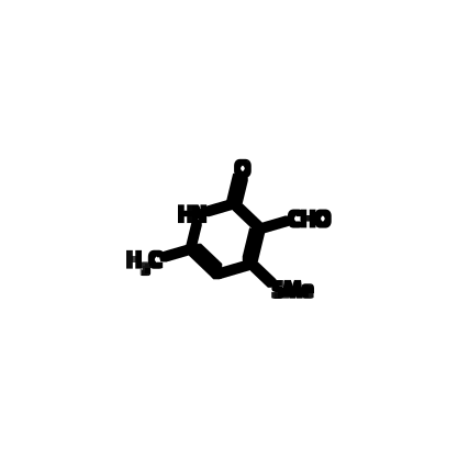 CSc1cc(C)[nH]c(=O)c1C=O